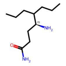 CCCC(CCC)[C@@H](N)CCC(N)=O